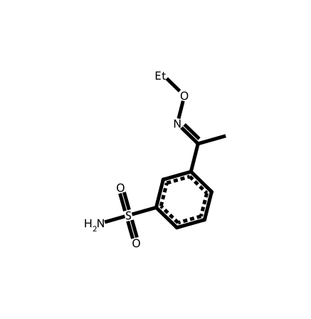 CCON=C(C)c1cccc(S(N)(=O)=O)c1